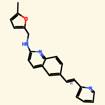 Cc1ccc(CNc2ccc3cc(/C=C/c4ccccn4)ccc3n2)o1